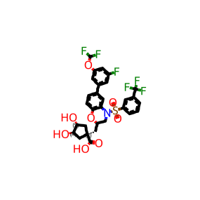 O=C(O)[C@@]1(CC2CN(S(=O)(=O)c3cccc(C(F)(F)F)c3)c3cc(-c4cc(F)cc(OC(F)F)c4)ccc3O2)C[C@@H](O)[C@@H](O)C1